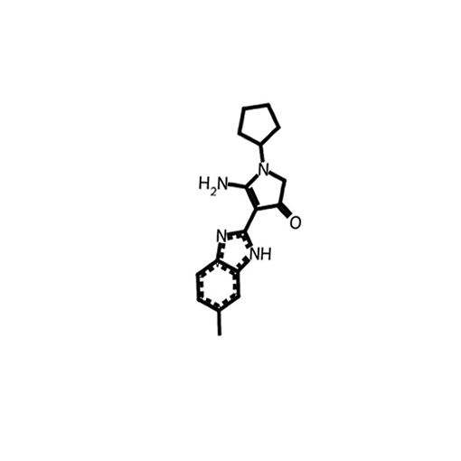 Cc1ccc2nc(C3=C(N)N(C4CCCC4)CC3=O)[nH]c2c1